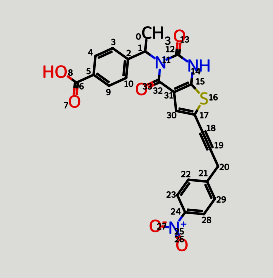 CC(c1ccc(C(=O)O)cc1)n1c(=O)[nH]c2sc(C#CCc3ccc([N+](=O)[O-])cc3)cc2c1=O